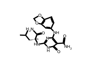 CC(C)C[C@@H](Nc1nc(Nc2ccc3c(c2)OCO3)c(C(N)=O)c(=O)[nH]1)C(N)=O